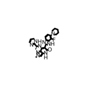 C[C@H](Nc1c(-c2nc3ccc(N4CCCCC4)c(F)c3[nH]2)c(=O)[nH]c2cn(C)nc12)c1ncccn1